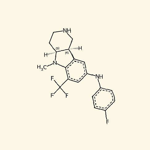 CN1c2c(cc(Nc3ccc(F)cc3)cc2C(F)(F)F)[C@@H]2CNCC[C@@H]21